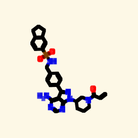 C=CC(=O)N1CCC[C@@H](n2nc(-c3ccc(CNS(=O)(=O)c4ccc5c(c4)CCC5)cc3)c3c(N)ncnc32)C1